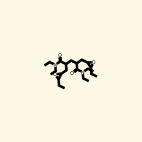 CCC1OC1CC(CC(CC1OC1CC)C(=O)N(CC)CC)C(=O)N(CC)CC